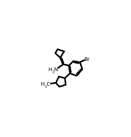 CC1CCC(c2ccc(Br)cc2C(N)=C2CCC2)C1